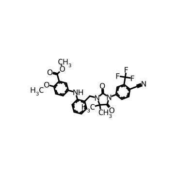 COC(=O)c1cc(Nc2ccccc2CN2C(=O)N(c3ccc(C#N)c(C(F)(F)F)c3)C(=O)C2(C)C)ccc1OC